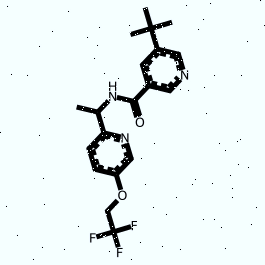 CC(NC(=O)c1cncc(C(C)(C)C)c1)c1ccc(OCC(F)(F)F)cn1